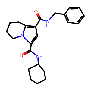 O=C(NCc1ccccc1)c1cc(C(=O)NC2CCCCC2)n2c1CCCC2